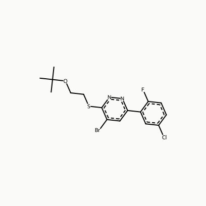 CC(C)(C)OCCSc1nnc(-c2cc(Cl)ccc2F)cc1Br